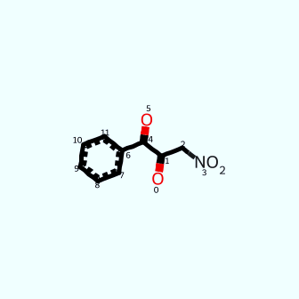 O=C(C[N+](=O)[O-])C(=O)c1ccccc1